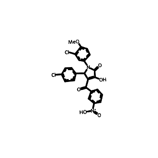 COc1ccc(N2C(=O)C(O)=C(C(=O)c3cccc([N+](=O)O)c3)C2c2ccc(Cl)cc2)cc1Cl